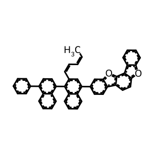 C/C=C\C=C/c1cc(-c2ccc3c(c2)oc2c3ccc3oc4ccccc4c32)c2ccccc2c1-c1ccc(-c2ccccc2)c2ccccc12